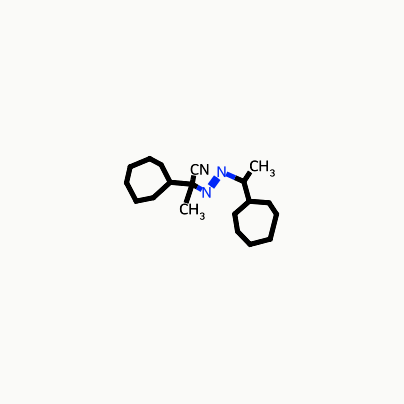 CC(N=NC(C)(C#N)C1CCCCCC1)C1CCCCCC1